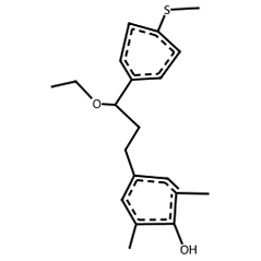 CCOC(CCc1cc(C)c(O)c(C)c1)c1ccc(SC)cc1